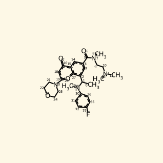 CC(c1cc(C(=O)N(C)CCN(C)C)cc2c(=O)cc(N3CCOCC3)oc12)N(C)c1ccc(F)cc1